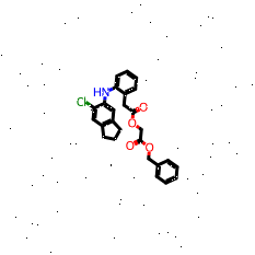 O=C(COC(=O)Cc1ccccc1Nc1cc2c(cc1Cl)CCC2)OCc1ccccc1